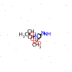 COC(=O)[C@@H]1C[C@H](N=N)CN1C(=O)OC(C)(C)C